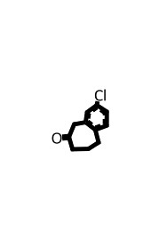 O=C1CCCc2ccc(Cl)cc2C1